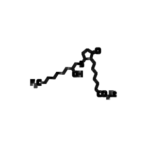 CCOC(=O)CCCCCCC1C(=O)CCC1SCC(O)CCCCCCC(F)(F)F